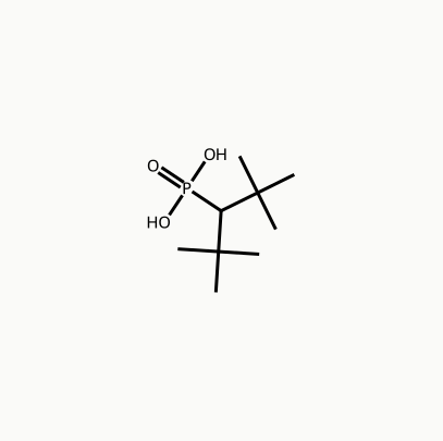 CC(C)(C)C(C(C)(C)C)P(=O)(O)O